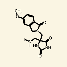 COc1ccc2c(c1)CN(CC1(CNI)NC(=O)NC1=O)C2=O